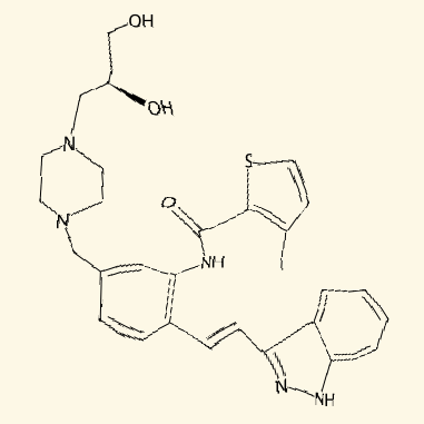 Cc1ccsc1C(=O)Nc1cc(CN2CCN(C[C@H](O)CO)CC2)ccc1/C=C/c1n[nH]c2ccccc12